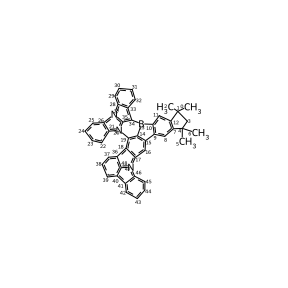 CC1(C)CC(C)(C)c2cc3c(cc21)B1c2c-3cc3c(c2-n2c4ccccc4n4c5ccccc5c1c24)c1cccc2c4ccccc4n3c21